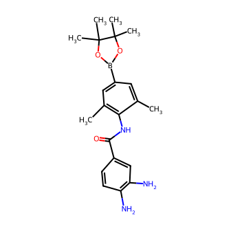 Cc1cc(B2OC(C)(C)C(C)(C)O2)cc(C)c1NC(=O)c1ccc(N)c(N)c1